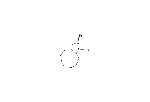 CC(C)OCC1CCCCCCCC1OC(C)C